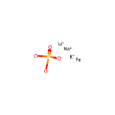 O=P([O-])([O-])[O-].[Fe].[K+].[Li+].[Na+]